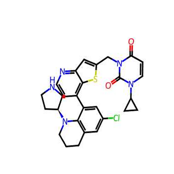 O=c1ccn(C2CC2)c(=O)n1Cc1cc2nccc(-c3cc(Cl)cc4c3N([C@H]3CCNC3)CCC4)c2s1